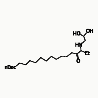 CCCCCCCCCCCCCCCCCCCCCC(=O)C(CC)NCC(O)O